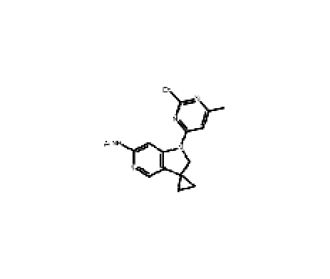 CCc1nc(C)cc(N2CC3(CC3)c3cnc(NC(C)=O)cc32)n1